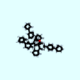 c1ccc(-c2ccc(-c3nc(-c4ccccc4)cc(-c4ccccc4-n4c5ccccc5c5c4ccc4c6ccccc6n(-c6cccc(-c7ccccc7)c6)c45)n3)cc2)cc1